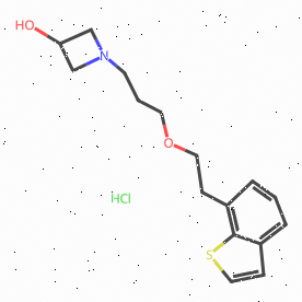 Cl.OC1CN(CCCOCCc2cccc3ccsc23)C1